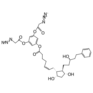 [N-]=[N+]=NCC(=O)Oc1cc(OC(=O)CCC/C=C\C[C@@H]2[C@@H](CC[C@@H](O)CCc3ccccc3)[C@H](O)C[C@@H]2O)cc(OC(=O)CN=[N+]=[N-])c1